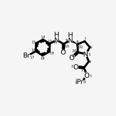 CC(C)OC(=O)CN1CC[C@H](NC(=O)Nc2ccc(Br)cc2)C1=O